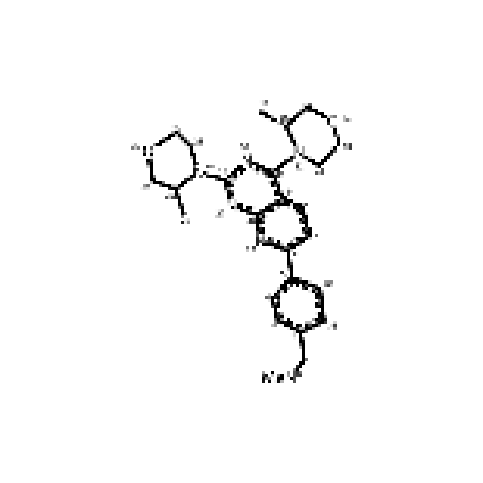 CNCc1ccc(-c2ccc3c(N4CCOC[C@@H]4C)nc(N4CCOCC4C)nc3n2)cc1